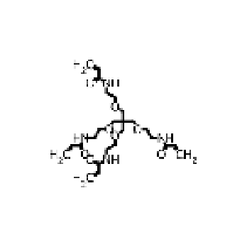 C=CC(=O)NCCOCC(COCCNC(=O)C=C)(COCCNC(=O)C=C)COCCNC(=O)C=C